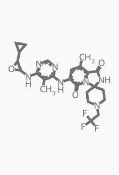 Cc1cc(Nc2ncnc(NC3OC3C3CC3)c2C)c(=O)n2c1C(=O)NC21CCN(CC(F)(F)F)CC1